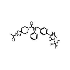 CC(=O)N1CC2(CCN(C(=O)N(Cc3ccc(-c4nnc(C(F)(F)F)o4)cc3)c3ccccc3)CC2)C1